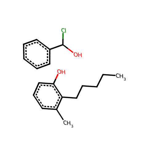 CCCCCc1c(C)cccc1O.OC(Cl)c1ccccc1